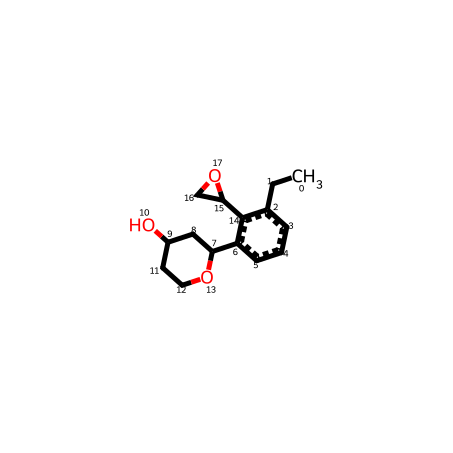 CCc1cccc(C2CC(O)CCO2)c1C1CO1